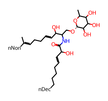 CCCCCCCCCCCCCC/C=C/C(O)C(=O)NC(CO[C@@H]1OC(C)C(O)C(O)C1O)C(O)/C=C/CC/C=C(\C)CCCCCCCCC